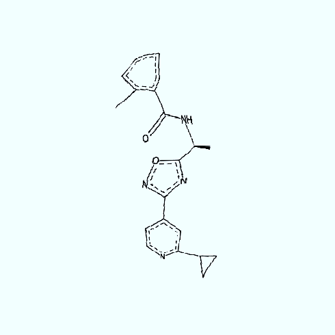 Cc1ccccc1C(=O)N[C@@H](C)c1nc(-c2ccnc(C3CC3)c2)no1